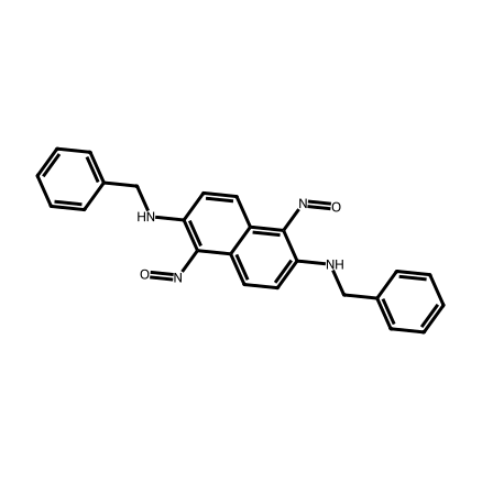 O=Nc1c(NCc2ccccc2)ccc2c(N=O)c(NCc3ccccc3)ccc12